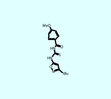 COc1ccc(C(=O)NC(=S)Nc2cc(C(C)(C)C)no2)cc1